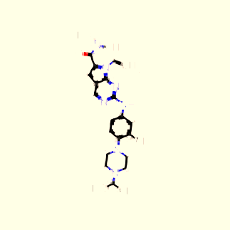 C=Cn1c(C(=O)N(C)C)cc2cnc(Nc3ccc(N4CCN(C(C)C)CC4)c(C)c3)nc21